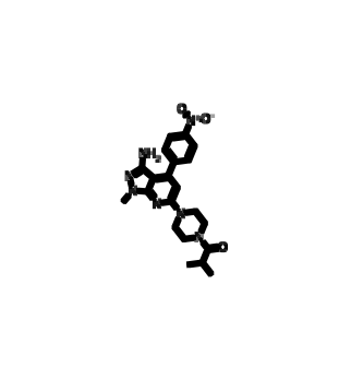 CC(C)C(=O)N1CCN(c2cc(-c3ccc([N+](=O)[O-])cc3)c3c(N)nn(C)c3n2)CC1